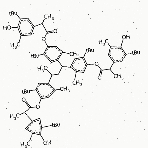 Cc1cc(OC(=O)C(C)c2cc(C)c(O)c(C(C)(C)C)c2)c(C(C)(C)C)cc1C(C)CC(c1cc(C(C)(C)C)c(OC(=O)C(C)c2cc(C)c(O)c(C(C)(C)C)c2)cc1C)c1cc(C(C)(C)C)c(OC(=O)C(C)c2cc(C)c(O)c(C(C)(C)C)c2)cc1C